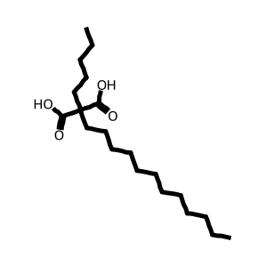 CCCCCCCCCCCCC(CCCCC)(C(=O)O)C(=O)O